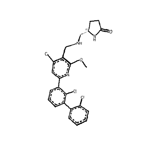 COc1nc(-c2cccc(-c3ccccc3Cl)c2Cl)cc(Cl)c1CNC[C@@H]1CCC(=O)N1